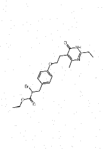 CCOC(=O)C(Br)Cc1ccc(OCCc2c(C)nc(CC)[nH]c2=O)cc1